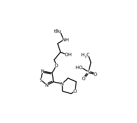 CC(C)(C)NCC(O)COc1nsnc1N1CCOCC1.CCS(=O)(=O)O